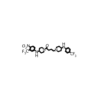 O=C(CCCN1CCC(Nc2ccc(C(F)(F)F)cc2)CC1)N1CCC(Nc2ccc([N+](=O)[O-])c(C(F)(F)F)c2)CC1